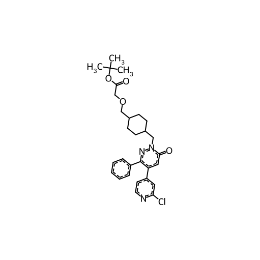 CC(C)(C)OC(=O)COCC1CCC(Cn2nc(-c3ccccc3)c(-c3ccnc(Cl)c3)cc2=O)CC1